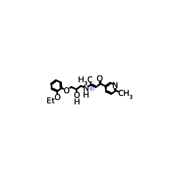 CCOc1ccccc1OCC(O)CN/C(C)=C/C(=O)c1ccc(C)nc1